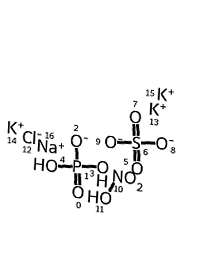 O=P([O-])(O)O.O=S(=O)([O-])[O-].O=[N+]([O-])O.[Cl-].[K+].[K+].[K+].[Na+]